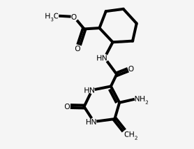 C=C1NC(=O)NC(C(=O)NC2CCCCC2C(=O)OC)=C1N